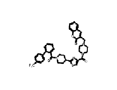 O=C(c1csc(C2CCN(C(=O)c3ccccc3-c3ccc(C(F)(F)F)cc3)CC2)n1)N1CCN(Cc2cc3ccccc3oc2=O)CC1